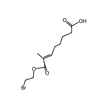 C/C(=C\CCCCC(=O)O)C(=O)OCCBr